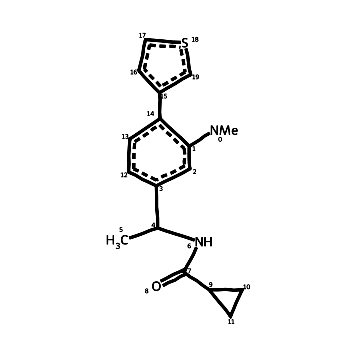 CNc1cc(C(C)NC(=O)C2CC2)ccc1-c1ccsc1